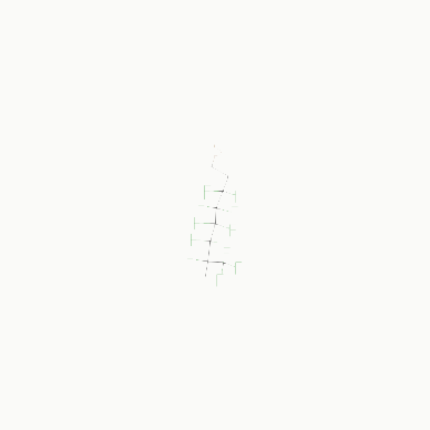 CC(F)(C(F)(F)F)C(F)(F)C(F)(F)C(F)(F)C(F)(F)CCS